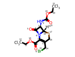 O=C(N[C@@H]1C(=O)N2C(C(=O)OCC(Cl)(Cl)Cl)=C(CBr)CS[C@@H]12)OCC(Cl)(Cl)Cl